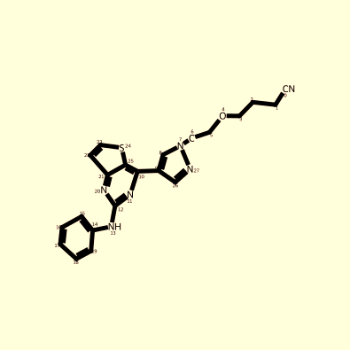 N#CCCCOCCn1cc(-c2nc(Nc3ccccc3)nc3ccsc23)cn1